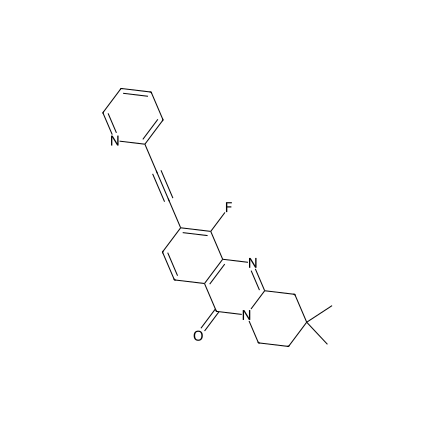 CC1(C)CCn2c(nc3c(F)c(C#Cc4ccccn4)ccc3c2=O)C1